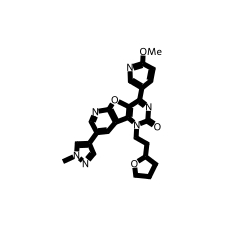 COc1ccc(-c2nc(=O)n(CCC3CCCO3)c3c2oc2ncc(-c4cnn(C)c4)cc23)cn1